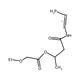 CCOCC(=O)OC(C)CC(=O)N/B=N/P